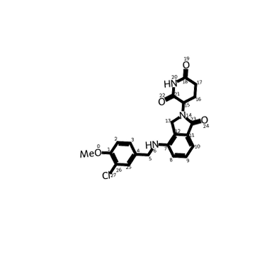 COc1ccc(CNc2cccc3c2CN(C2CCC(=O)NC2=O)C3=O)cc1Cl